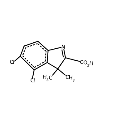 CC1(C)C(C(=O)O)=Nc2ccc(Cl)c(Cl)c21